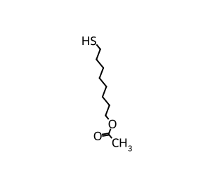 CC(=O)OCCCCCCCCS